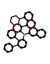 c1ccc(-c2cccc(N(c3ccc4ccccc4c3)c3ccccc3-c3cccc4cccc(C5CCCCC5)c34)c2-c2ccccc2)cc1